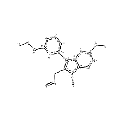 C=CCn1c(=O)c2cnc(SC)nc2n1-c1cccc(OCC)n1